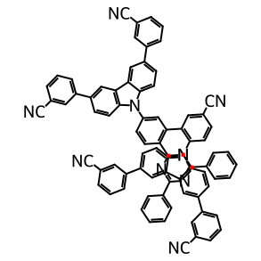 N#Cc1cccc(-c2ccc3c(c2)c2cc(-c4cccc(C#N)c4)ccc2n3-c2ccc(-c3nc(-c4ccccc4)nc(-c4ccccc4)n3)c(-c3cc(C#N)ccc3-n3c4ccc(-c5cccc(C#N)c5)cc4c4cc(-c5cccc(C#N)c5)ccc43)c2)c1